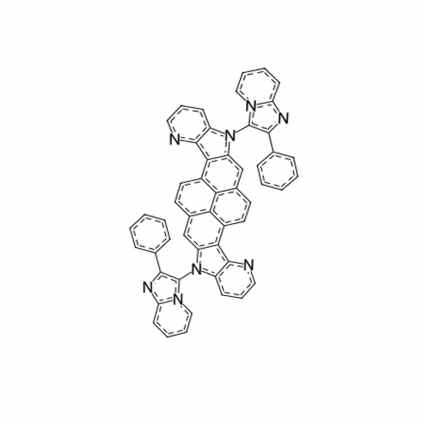 c1ccc(-c2nc3ccccn3c2-n2c3cccnc3c3c4ccc5cc6c(c7ccc(cc32)c4c57)c2ncccc2n6-c2c(-c3ccccc3)nc3ccccn23)cc1